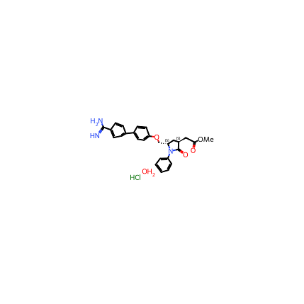 COC(=O)C[C@@H]1C[C@@H](COc2ccc(-c3ccc(C(=N)N)cc3)cc2)N(c2ccccc2)C1=O.Cl.O